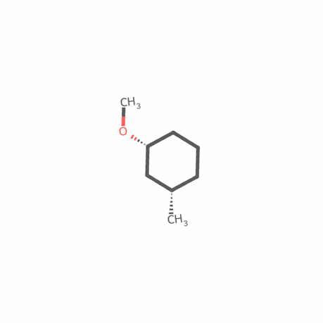 CO[C@@H]1CCC[C@H](C)C1